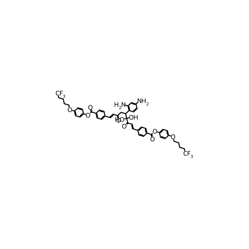 Nc1ccc(C(CC(=O)C=Cc2ccc(C(=O)Oc3ccc(OCCCCC(F)(F)F)cc3)cc2)C(O)(O)C(=O)C=Cc2ccc(C(=O)Oc3ccc(OCCCCC(F)(F)F)cc3)cc2)c(N)c1